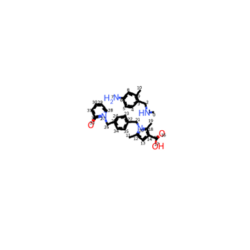 CNCc1ccc(N)cc1C.Cc1cc(C(=O)O)c(C)n1Cc1ccc(Cn2ccccc2=O)cc1